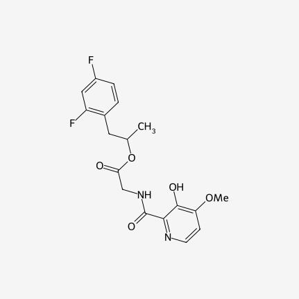 COc1ccnc(C(=O)NCC(=O)OC(C)Cc2ccc(F)cc2F)c1O